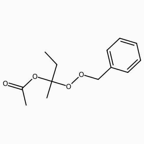 CCC(C)(OOCc1ccccc1)OC(C)=O